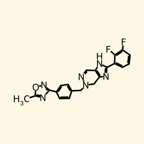 Cc1nc(-c2ccc(CN3Cc4nc(-c5cccc(F)c5F)[nH]c4C=N3)cc2)no1